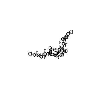 COC[C@H]1COC[C@H]1n1c(Cc2cc(F)c(-c3cccc(OCc4ccc(Cl)cc4F)n3)cc2F)nc2ccc(C(=O)OC(=O)c3ccc4nc(Cc5cc(F)c(-c6cccc(OCc7ccc(Cl)cc7F)n6)cc5F)n([C@@H]5COC[C@@H]5COC)c4c3)cc21